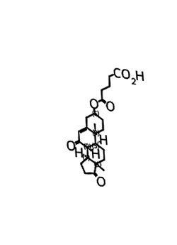 C[C@]12CC[C@H](OC(=O)CCCC(=O)O)CC1=CC(=O)[C@@H]1[C@@H]2CC[C@]2(C)C(=O)CC[C@@H]12